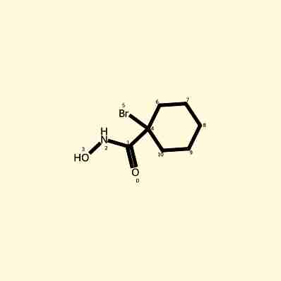 O=C(NO)C1(Br)CCCCC1